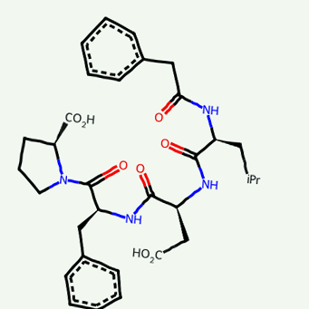 CC(C)C[C@H](NC(=O)Cc1ccccc1)C(=O)N[C@@H](CC(=O)O)C(=O)N[C@@H](Cc1ccccc1)C(=O)N1CCC[C@H]1C(=O)O